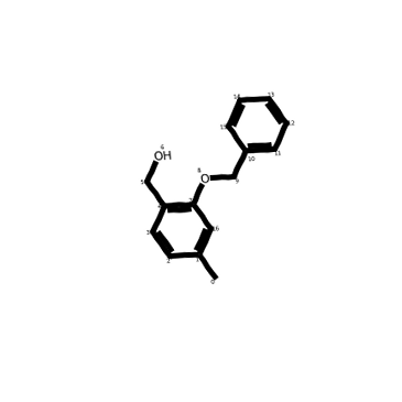 Cc1ccc(CO)c(OCc2ccccc2)c1